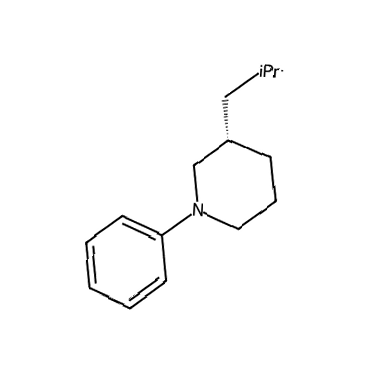 C[C](C)C[C@@H]1CCCN(c2ccccc2)C1